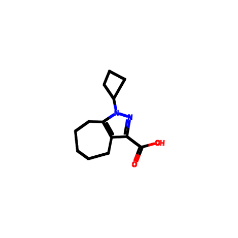 O=C(O)c1nn(C2CCC2)c2c1CCCCC2